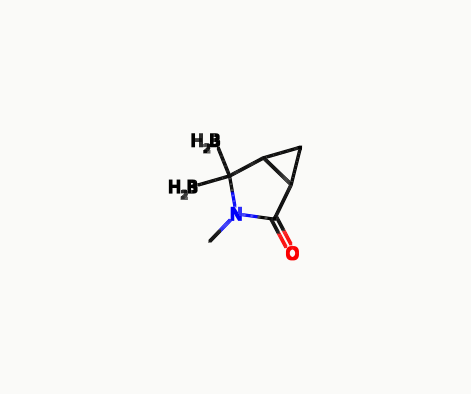 BC1(B)C2CC2C(=O)N1C